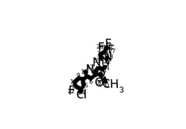 CCS(=O)(=O)c1cc(-c2ccc(F)c(Cl)c2)cnc1-c1ccn2nc(C(F)(F)F)cc2n1